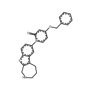 O=c1cc(OCc2ccccc2)ccn1-c1ccc2sc3c(c2c1)CCCNC3